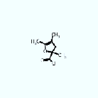 CC1=C(C)OC(C)(C(=O)Cl)C1